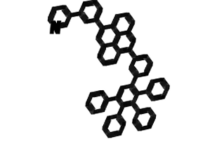 c1ccc(-c2cc(-c3cccc(-c4cc5cccc6c(-c7cccc(-c8cccnc8)c7)cc7cccc4c7c56)c3)c(-c3ccccc3)c(-c3ccccc3)c2-c2ccccc2)cc1